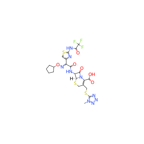 Cn1nnnc1SCC1=C(C(=O)O)N2C(=O)C(NC(=O)C(=NOC3CCCC3)c3csc(NC(=O)C(F)(F)F)n3)[C@@H]2SC1